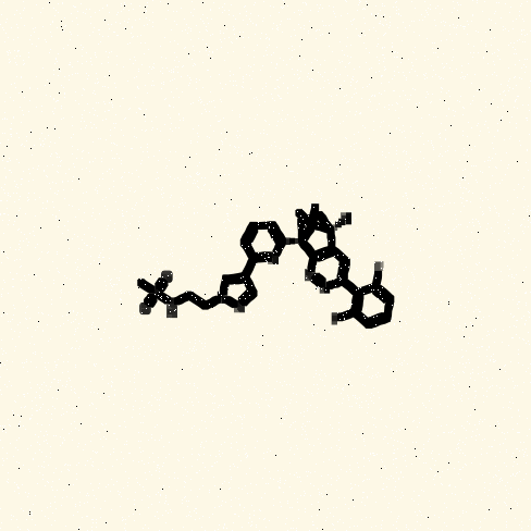 CC1(C)[C@H]2CC[C@]1(c1cccc(-c3cnn(CCNS(C)(=O)=O)c3)n1)c1nnc(-c3c(F)cccc3F)cc12